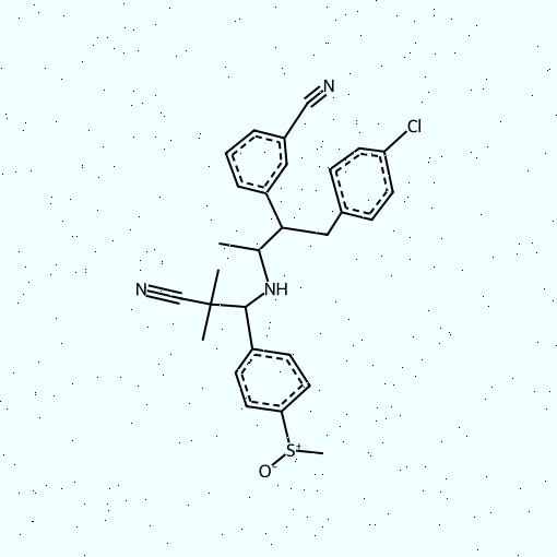 CC(NC(c1ccc([S+](C)[O-])cc1)C(C)(C)C#N)C(Cc1ccc(Cl)cc1)c1cccc(C#N)c1